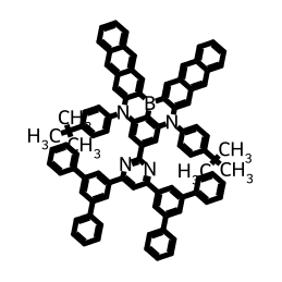 CC(C)(C)c1ccc(N2c3cc4cc5ccccc5cc4cc3B3c4cc5cc6ccccc6cc5cc4N(c4ccc(C(C)(C)C)cc4)c4cc(-c5nc(-c6cc(-c7ccccc7)cc(-c7ccccc7)c6)cc(-c6cc(-c7ccccc7)cc(-c7ccccc7)c6)n5)cc2c43)cc1